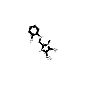 Cn1c(COc2ccccc2Br)nc([N+](=O)[O-])c1C#N